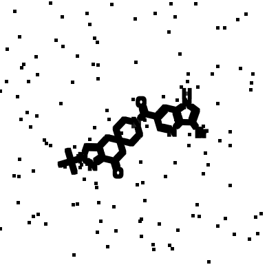 CC(C)(C)n1cc2c(n1)C(=O)CC1(CCN(C(=O)c3cnc4c(Br)c[nH]c4c3)CC1)C2